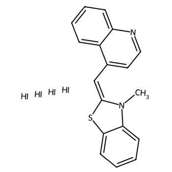 CN1C(=Cc2ccnc3ccccc23)Sc2ccccc21.I.I.I.I